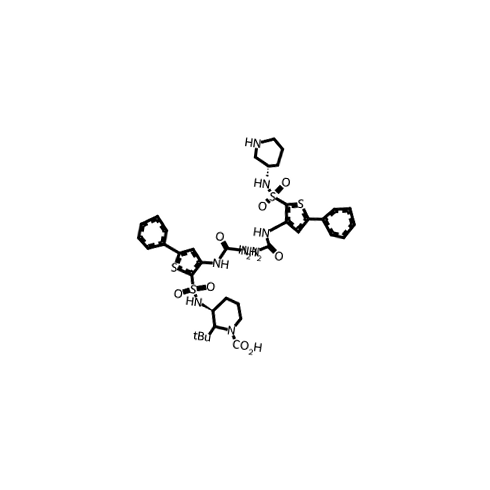 CC(C)(C)C1[C@@H](NS(=O)(=O)c2sc(-c3ccccc3)cc2NC(N)=O)CCCN1C(=O)O.NC(=O)Nc1cc(-c2ccccc2)sc1S(=O)(=O)N[C@H]1CCCNC1